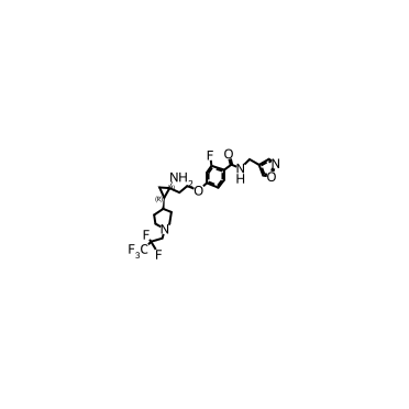 N[C@@]1(CCOc2ccc(C(=O)NCc3cnoc3)c(F)c2)C[C@@H]1C1CCN(CC(F)(F)C(F)(F)F)CC1